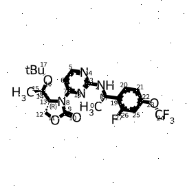 C[C@H](Nc1nccc(N2C(=O)OC[C@@H]2[C@@H](C)OC(C)(C)C)n1)c1ccc(OC(F)(F)F)cc1F